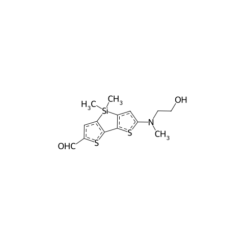 CN(CCO)c1cc2c(s1)-c1sc(C=O)cc1[Si]2(C)C